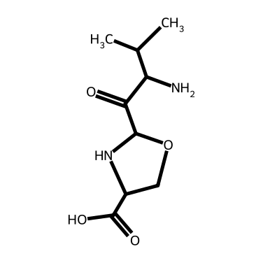 CC(C)C(N)C(=O)C1NC(C(=O)O)CO1